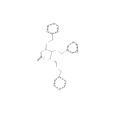 O=C1CC(OCc2ccccc2)C(OCc2ccccc2)[C@@H](COCc2ccccc2)O1